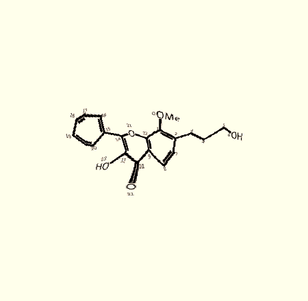 COc1c(CCCO)ccc2c(=O)c(O)c(-c3ccccc3)oc12